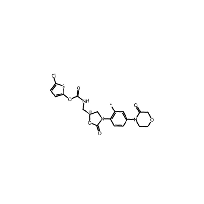 O=C(NC[C@H]1CN(c2ccc(N3CCOCC3=O)cc2F)C(=O)O1)Oc1ccc(Cl)s1